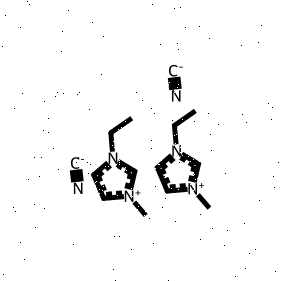 CCn1cc[n+](C)c1.CCn1cc[n+](C)c1.[C-]#N.[C-]#N